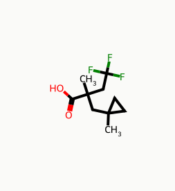 CC1(CC(C)(CC(F)(F)F)C(=O)O)CC1